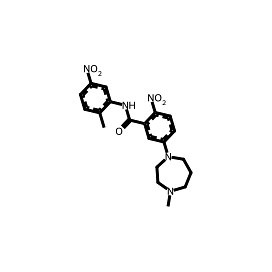 Cc1ccc([N+](=O)[O-])cc1NC(=O)c1cc(N2CCCN(C)CC2)ccc1[N+](=O)[O-]